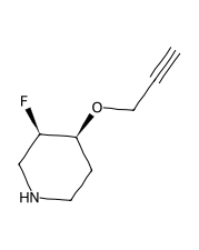 C#CCO[C@H]1CCNC[C@H]1F